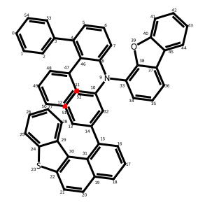 c1ccc(-c2cccc(N(c3cccc(-c4cccc5ccc6sc7ccccc7c6c45)c3)c3cccc4c3oc3ccccc34)c2-c2ccccc2)cc1